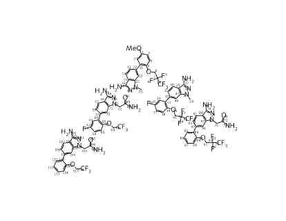 COc1ccc(OCC(F)(F)C(F)(F)F)c(-c2ccc3c(N)nn(C)c3c2)c1.Cn1nc(N)c2ccc(-c3cc(F)ccc3OCC(F)(F)C(F)(F)F)cc21.NC(=O)Cn1nc(N)c2ccc(-c3cc(F)ccc3OCC(F)(F)F)cc21.NC(=O)Cn1nc(N)c2ccc(-c3ccccc3OCC(F)(F)C(F)(F)F)cc21.NC(=O)Cn1nc(N)c2ccc(-c3ccccc3OCC(F)(F)F)cc21